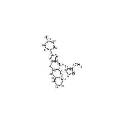 Cn1cc([C@H]2CN(Cc3cc(-c4ccc(F)cc4)nn3C)Cc3ccccc32)cn1